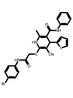 CC1=C(C(=O)Nc2ccccc2)C(c2cccs2)C(C#N)=C(SCC(=O)Nc2ccc(Br)cc2)N1